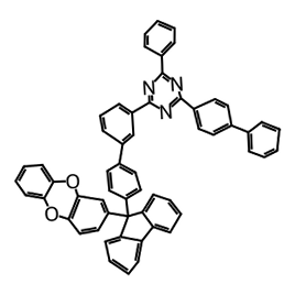 c1ccc(-c2ccc(-c3nc(-c4ccccc4)nc(-c4cccc(-c5ccc(C6(c7ccc8c(c7)Oc7ccccc7O8)c7ccccc7-c7ccccc76)cc5)c4)n3)cc2)cc1